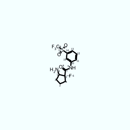 NC1CCC[C@]1(F)C(=O)Nc1cccc(S(=O)(=O)C(F)(F)F)c1